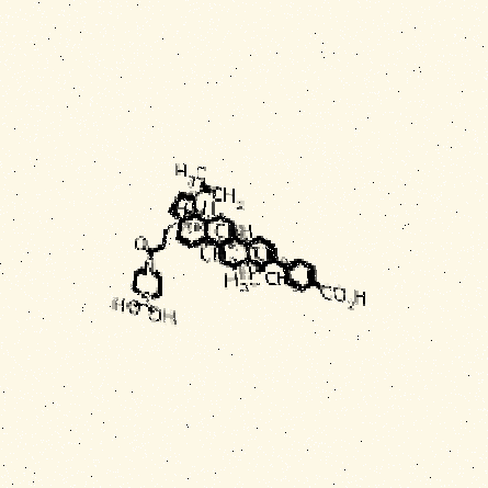 C=C(C)[C@@H]1CC[C@]2(CCC(=O)N3CCS(O)(O)CC3)CC[C@]3(C)[C@H](CC[C@@H]4[C@@]5(C)CC=C(c6ccc(C(=O)O)cc6)C(C)(C)[C@@H]5CC[C@]43C)[C@@H]12